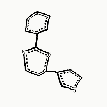 c1ccc(-c2nccc(-c3ccoc3)n2)cc1